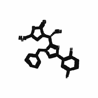 CC(C)(C)[C@H](c1nc(-c2cc(F)ccc2F)cn1Cc1ccccc1)N1CC(N)OC1=O